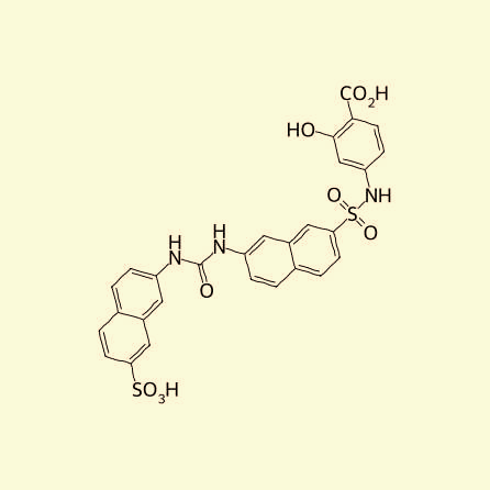 O=C(Nc1ccc2ccc(S(=O)(=O)O)cc2c1)Nc1ccc2ccc(S(=O)(=O)Nc3ccc(C(=O)O)c(O)c3)cc2c1